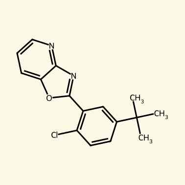 CC(C)(C)c1ccc(Cl)c(-c2nc3ncccc3o2)c1